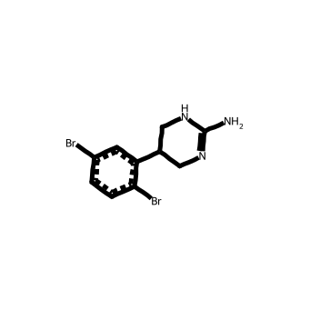 NC1=NCC(c2cc(Br)ccc2Br)CN1